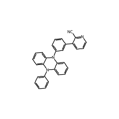 N#Cc1ncccc1-c1cccc(N2c3ccccc3N(c3ccccc3)c3ccccc32)c1